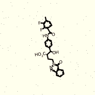 Cc1ccc(C(=O)Nc2ccc(C(O)[C@H](CCn3nnc4ccccc4c3=O)C(=O)O)cc2)c(F)c1F